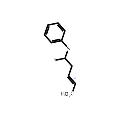 O=C(O)/C=C/CC(I)Sc1ccccc1